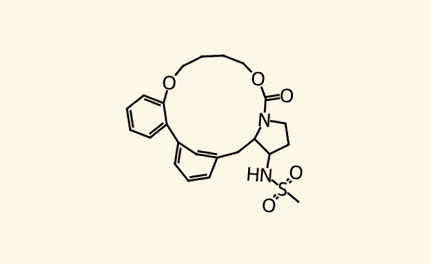 CS(=O)(=O)NC1CCN2C(=O)OCCCCOc3ccccc3-c3cccc(c3)CC12